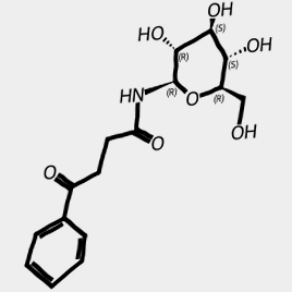 O=C(CCC(=O)c1ccccc1)N[C@@H]1O[C@H](CO)[C@@H](O)[C@H](O)[C@H]1O